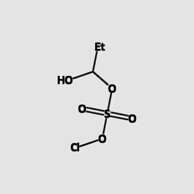 CCC(O)OS(=O)(=O)OCl